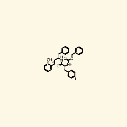 C[n+]1ccccc1/C=C/[C@H](Cc1ccccc1)NC(=O)[C@H](Cc1ccccc1)NC(=O)OCc1ccccc1.[I-]